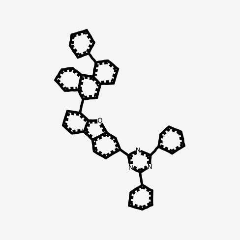 c1ccc(-c2nc(-c3ccccc3)nc(-c3ccc4c(c3)oc3c(-c5cc6cccc(-c7ccccc7)c6c6ccccc56)cccc34)n2)cc1